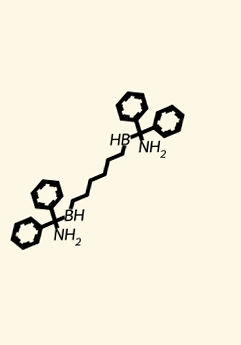 NC(BCCCCCCBC(N)(c1ccccc1)c1ccccc1)(c1ccccc1)c1ccccc1